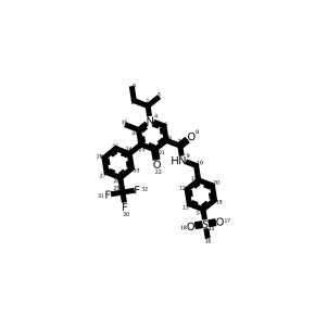 CCC(C)n1cc(C(=O)NCc2ccc(S(C)(=O)=O)cc2)c(=O)c(-c2cccc(C(F)(F)F)c2)c1C